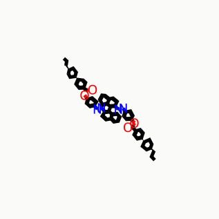 CCC[C@H]1CC[C@H](c2ccc(C(=O)Oc3ccc(N=Nc4ccc5ccccc5c4-c4c(N=Nc5ccc(OC(=O)c6ccc([C@H]7CC[C@H](CCC)CC7)cc6)cc5)ccc5ccccc45)cc3)cc2)CC1